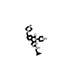 CN1CCN(Cc2ccc3c(c2)c(=O)n(C2CCNCC2)c2nc(NCC4CC4)ncc32)CC1